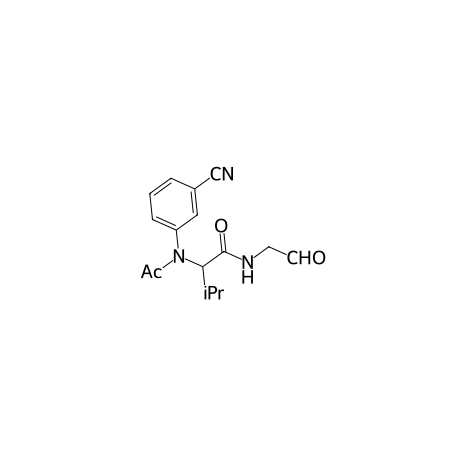 CC(=O)N(c1cccc(C#N)c1)C(C(=O)NCC=O)C(C)C